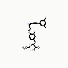 CCO[C@@H](Cc1ccc(OC/C=C\C#Cc2cc(I)cc(I)c2)c(I)c1)C(=O)O